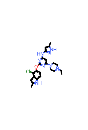 CCN1CCN(c2cc(Nc3cc(C)[nH]n3)nc(Oc3ccc4[nH]c(C)cc4c3Cl)n2)CC1